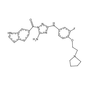 Nc1nc(Nc2ccc(OCCN3CCCC3)c(F)c2)nn1C(=O)c1ccc2cc[nH]c2c1